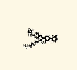 Cc1cccc(-c2ccc(-c3cc4cnc(NC5COC5)nc4n(CCOCCN)c3=O)c(C)c2)n1